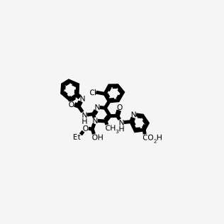 CCOC(O)N1C(Nc2nc3ccccc3o2)=NC(c2ccccc2Cl)C(C(=O)Nc2cc(C(=O)O)ccn2)=C1C